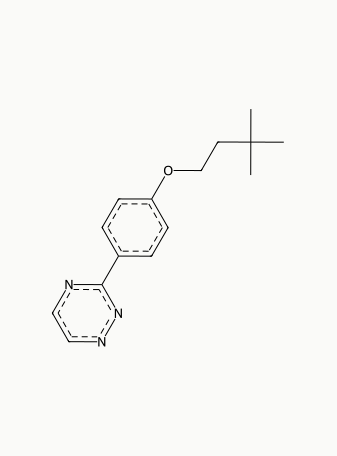 CC(C)(C)CCOc1ccc(-c2nccnn2)cc1